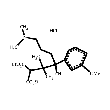 CCOC(=O)C(C(=O)OCC)C(C)(C)C(C#N)(CCCN(C)C)c1cccc(OC)c1.Cl